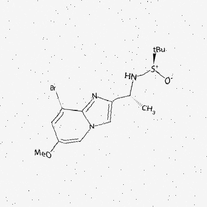 COc1cc(Br)c2nc([C@@H](C)N[S@+]([O-])C(C)(C)C)cn2c1